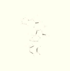 CN(C(=O)Cc1c2n(c(=S)n1C)C[C@@]1(c3c(F)ccc(Cl)c3F)C[C@@H]21)C1CCOC1